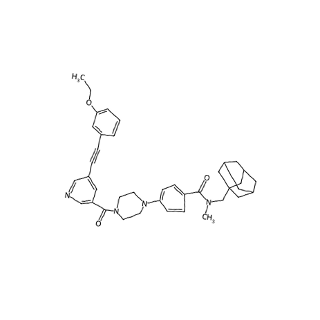 CCOc1cccc(C#Cc2cncc(C(=O)N3CCN(c4ccc(C(=O)N(C)CC56CC7CC(CC(C7)C5)C6)cc4)CC3)c2)c1